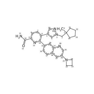 CC1(Cn2cc(-c3ccc(C(N)=O)nc3-c3ccc4cc(N5CCC5)cnc4c3)cn2)CCCC1